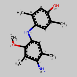 COc1c(Nc2cc(C)c(O)cc2C)cc(C)c(N)c1C